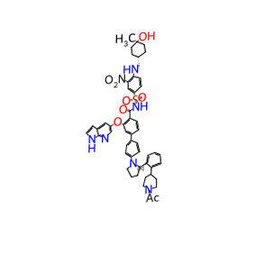 CC(=O)N1CCC(c2ccccc2[C@H]2CCCN2c2ccc(-c3ccc(C(=O)NS(=O)(=O)c4ccc(NC[C@H]5CC[C@](C)(O)CC5)c([N+](=O)[O-])c4)c(Oc4cnc5[nH]ccc5c4)c3)cc2)CC1